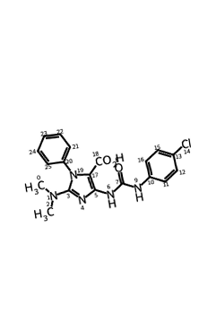 CN(C)c1nc(NC(=O)Nc2ccc(Cl)cc2)c(C(=O)O)n1-c1ccccc1